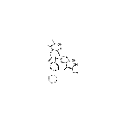 C=C/C(O)=C(\C)c1cc(C(C)(C(/C=C(C(=C)O)/C(C)=C(/C)O)=C/C)c2ccc(C3CCCCC3)cc2)ccc1O